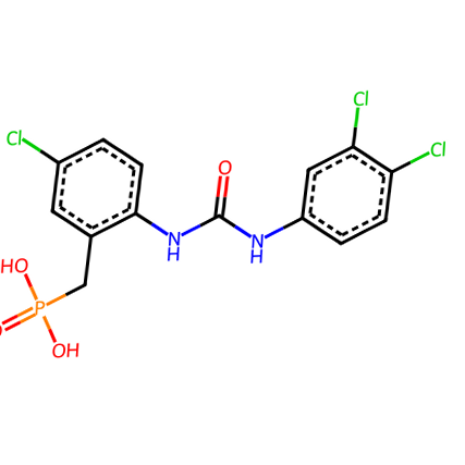 O=C(Nc1ccc(Cl)c(Cl)c1)Nc1ccc(Cl)cc1CP(=O)(O)O